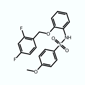 COc1ccc(S(=O)(=O)Nc2ccccc2OCc2ccc(F)cc2F)cc1